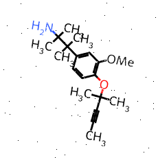 CC#CC(C)(C)Oc1ccc(C(C)(C)C(C)(C)N)cc1OC